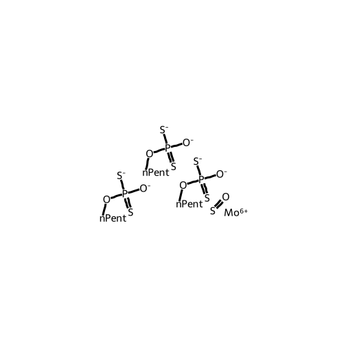 CCCCCOP([O-])(=S)[S-].CCCCCOP([O-])(=S)[S-].CCCCCOP([O-])(=S)[S-].O=S.[Mo+6]